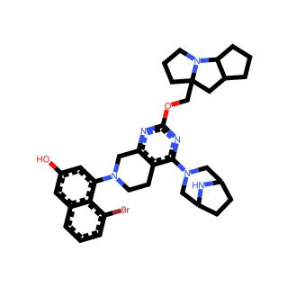 Oc1cc(N2CCc3c(nc(OCC45CCCN4C4CCCC4C5)nc3N3CC4CCC(C3)N4)C2)c2c(Br)cccc2c1